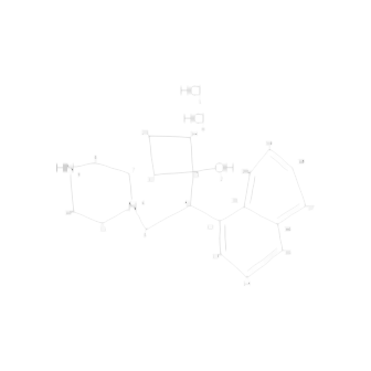 Cl.Cl.OC1(C(CN2CCNCC2)c2cccc3ccccc23)CCC1